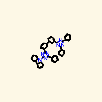 c1ccc(-c2nc(-c3ccccc3)nc(-c3cccc(-c4cccc(-c5nc(-c6ccccc6)nc(-n6c7ccccc7c7ccccc76)n5)c4)c3)n2)cc1